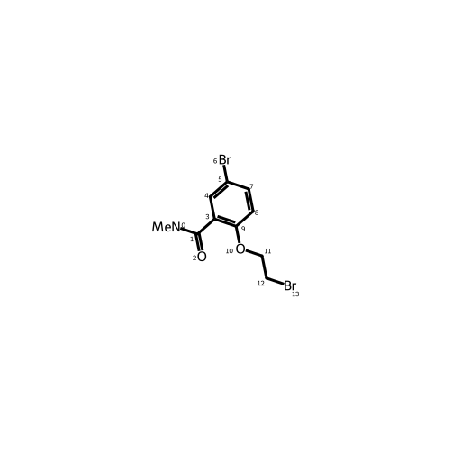 CNC(=O)c1cc(Br)ccc1OCCBr